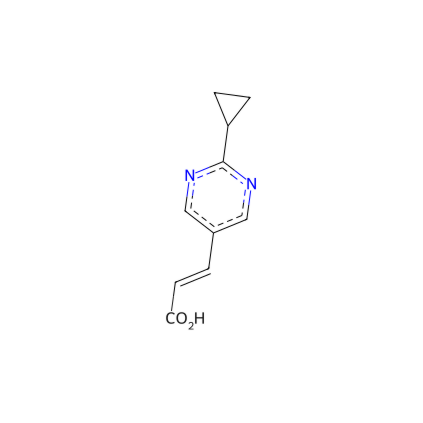 O=C(O)C=Cc1cnc(C2CC2)nc1